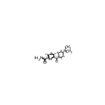 CN(C)C1CCN(C(=O)c2cc[c]c(C(N)=O)n2)CC1